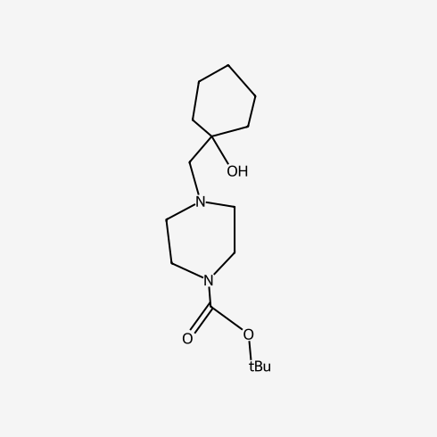 CC(C)(C)OC(=O)N1CCN(CC2(O)CCCCC2)CC1